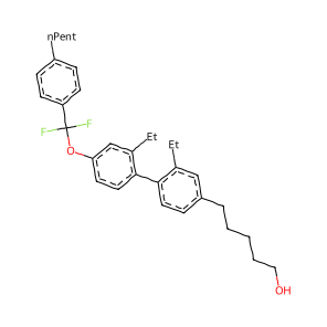 CCCCCc1ccc(C(F)(F)Oc2ccc(-c3ccc(CCCCCO)cc3CC)c(CC)c2)cc1